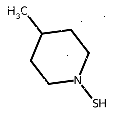 CC1CCN(S)CC1